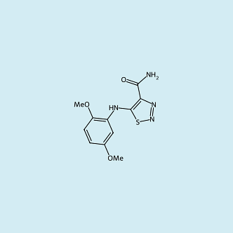 COc1ccc(OC)c(Nc2snnc2C(N)=O)c1